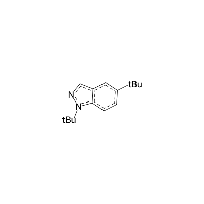 CC(C)(C)c1ccc2c(cnn2C(C)(C)C)c1